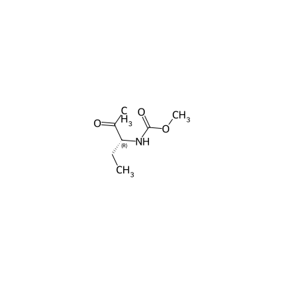 CC[C@@H](NC(=O)OC)C(C)=O